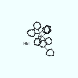 Br.c1ccc(-c2ccc(CP(c3ccccc3)(c3ccccc3)(c3ccccc3)[PH](c3ccccc3)(c3ccccc3)c3ccccc3)cc2)cc1